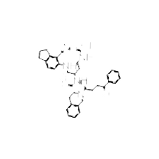 N#Cc1c(NC(=O)C(CCNC(=O)O)NC(=O)[C@@H]2Cc3ccccc3CN2C(=O)CCC(=O)c2ccccc2)ccc2c1CCC2